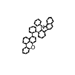 c1ccc(-n2c3c(-c4ccccc4-c4ccc5c6c(cccc46)-c4ccccc4O5)cccc3c3ccc4ccccc4c32)cc1